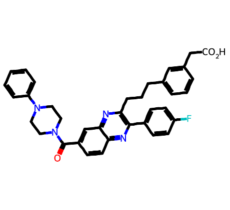 O=C(O)Cc1cccc(CCCc2nc3cc(C(=O)N4CCN(c5ccccc5)CC4)ccc3nc2-c2ccc(F)cc2)c1